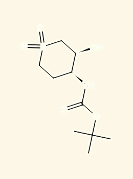 CC(C)(C)OC(=O)N[C@H]1CCS(=O)(=O)C[C@H]1O